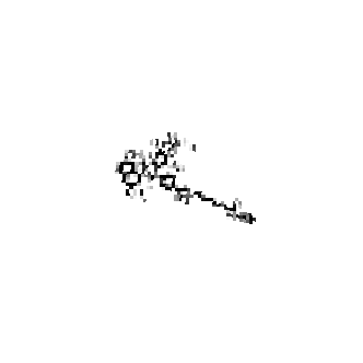 C[C@H]1C=C2C=C[C@H](C)[C@H](CC[C@@H]3C[C@H](C(C)(C)C)C(O[SiH](C)C)C(=O)O3)[C@H]2[C@@H](OC(=O)Nc2ccc(-c3cn(CCCCCCC(=O)NO)nn3)cc2)C1